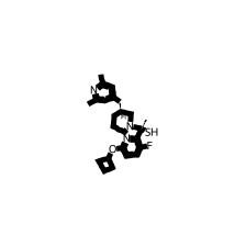 Cc1cc(C[C@H]2CCCN([C@@](C)(S)c3nc(OC4CCC4)ccc3F)C2)cc(C)n1